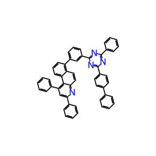 c1ccc(-c2ccc(-c3nc(-c4ccccc4)nc(-c4cccc(-c5cccc6c5ccc5nc(-c7ccccc7)cc(-c7ccccc7)c56)c4)n3)cc2)cc1